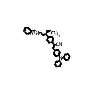 C/C=C\C(=C/CNCc1ccccc1)c1ccc(/C(C#N)=C/c2ccc(N(c3ccccc3)c3ccccc3)cc2)cc1